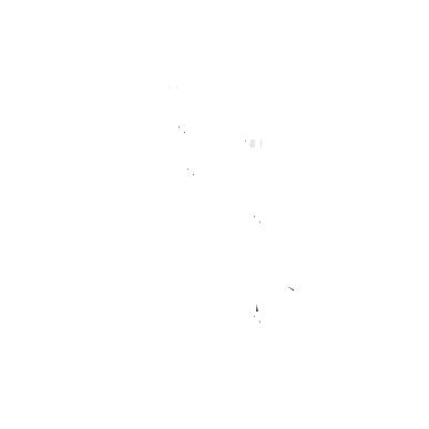 Cc1[nH]c2c(-c3cc(F)ccc3OCC3CC3)ncnc2c1C(=O)N[C@H]1CC[C@H](NC(=O)CO)[C@H](C)C1